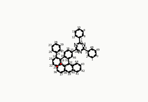 c1ccc(-c2nc(-c3ccccc3)nc(-c3ccc(-c4ccccc4-c4ccccc4)c(-c4c5ccccc5cc5ccccc45)c3)n2)cc1